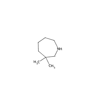 CC1(C)[CH]NCCCC1